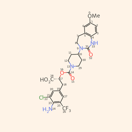 COc1ccc2c(c1)CCN(C1CCN(C(=O)O[C@H](Cc3cc(Cl)c(N)c(C(F)(F)F)c3)C(=O)O)CC1)C(=O)N2